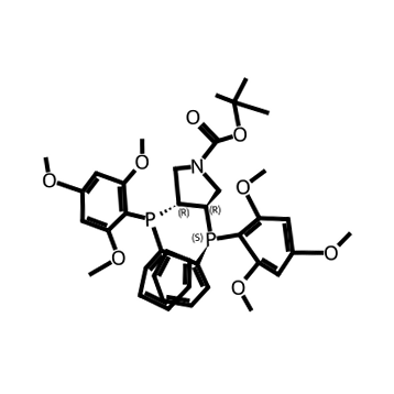 COc1cc(OC)c(P(c2ccccc2)[C@@H]2CN(C(=O)OC(C)(C)C)C[C@H]2[P@](c2ccccc2)c2c(OC)cc(OC)cc2OC)c(OC)c1